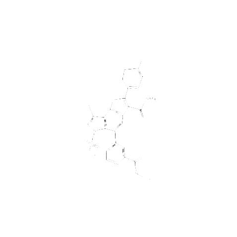 CNC(=O)c1c(C2=CC=C(F)CC2)oc2c1cc(-c1cccc(C(=O)NC(C)(C)C)c1)c1c2c(C)cn1S(C)(=O)=O